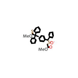 COC(=O)C[S+]([O-])C(c1ccccc1)c1ccccc1.COC(=S)C(C)(c1ccccc1)c1ccccc1